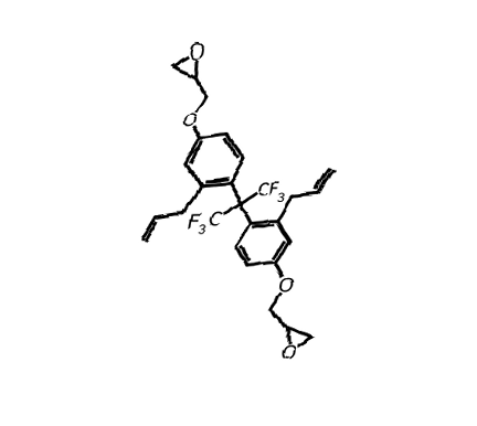 C=CCc1cc(OCC2CO2)ccc1C(c1ccc(OCC2CO2)cc1CC=C)(C(F)(F)F)C(F)(F)F